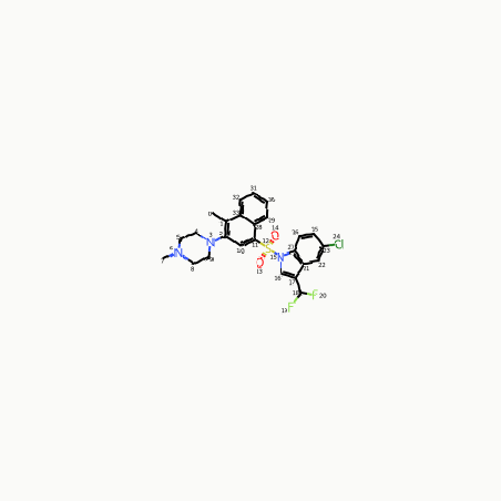 Cc1c(N2CCN(C)CC2)cc(S(=O)(=O)n2cc(C(F)F)c3cc(Cl)ccc32)c2ccccc12